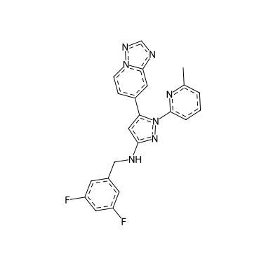 Cc1cccc(-n2nc(NCc3cc(F)cc(F)c3)cc2-c2ccn3ncnc3c2)n1